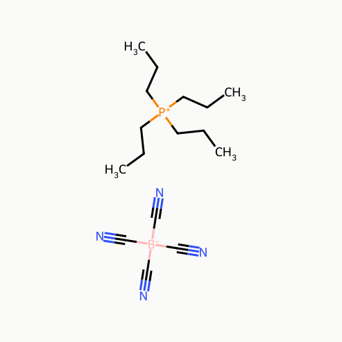 CCC[P+](CCC)(CCC)CCC.N#C[B-](C#N)(C#N)C#N